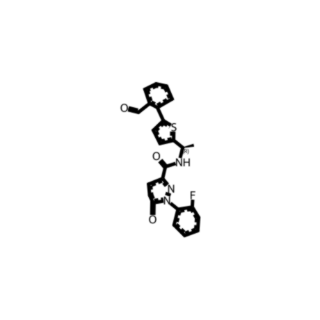 C[C@@H](NC(=O)c1ccc(=O)n(-c2ccccc2F)n1)c1ccc(-c2ccccc2C=O)s1